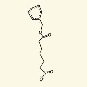 O=C(CCCCC[N+](=O)[O-])OCc1ccccc1